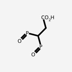 O=PC(CC(=O)O)P=O